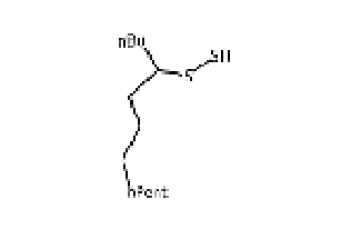 CCCCCCCCC(CCCC)SS